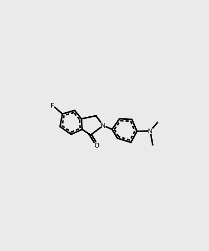 CN(C)c1ccc(N2Cc3cc(F)ccc3C2=O)cc1